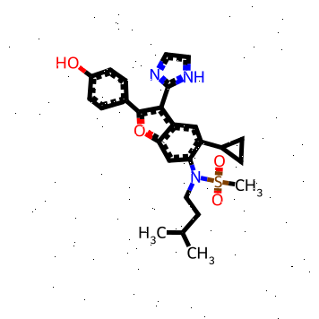 CC(C)CCN(c1cc2oc(-c3ccc(O)cc3)c(-c3ncc[nH]3)c2cc1C1CC1)S(C)(=O)=O